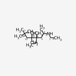 CCNC(C)CC(C)(CC)C(C)(C)CC(C)(C)C